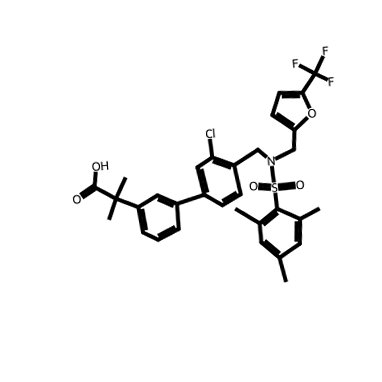 Cc1cc(C)c(S(=O)(=O)N(Cc2ccc(C(F)(F)F)o2)Cc2ccc(-c3cccc(C(C)(C)C(=O)O)c3)cc2Cl)c(C)c1